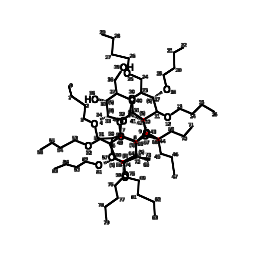 CCCCOCC1O[C@@H](O[C@H]2C(OCCCC)[C@@H](OCCCC)C(COCCCC)O[C@H]2O[C@H](C)[C@H](O)C(CO)O[C@H](COCCCC)O[C@@H]2C(COCCCC)O[C@@H](OCCCC)[C@@H](C)C2OCCCC)[C@@H](C)C(OCCCC)[C@@H]1OCCCC